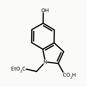 CCOC(=O)Cn1c(C(=O)O)cc2cc(O)ccc21